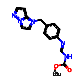 CC(C)(C)OC(=O)NC=Nc1ccc(Cn2ccn3nccc23)cc1